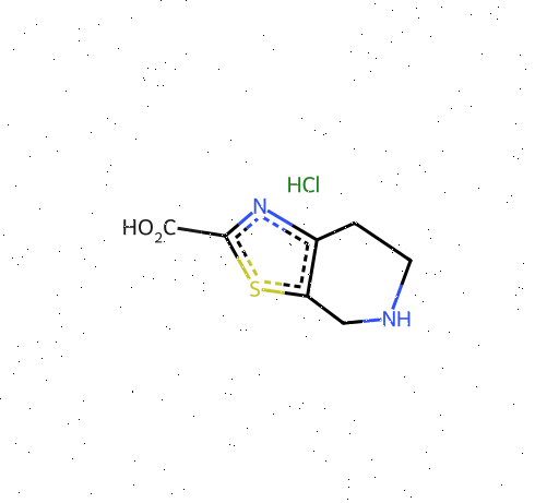 Cl.O=C(O)c1nc2c(s1)CNCC2